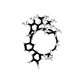 Cc1c([C@H](OC(C)(C)C)C(=O)O)c2n3cc(nc3c1C)-c1cccc(c1)-c1cc(F)c(F)cc1O[C@@H](C)CCCCOC1(C)CCN2CC1